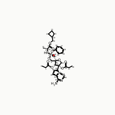 CCC(=O)O[C@@H]1[C@@](C#N)(COP(=O)(N[C@@H](C)C(=O)OCC2CCC2)Oc2ccccc2)OC[C@@]1(OC(=O)CC)c1ccc2c(N)ncnn12